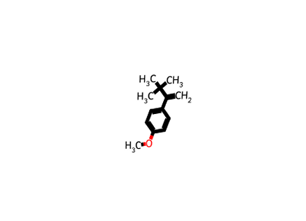 C=C(c1ccc(OC)cc1)C(C)(C)C